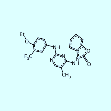 CCOc1ccc(Nc2ncc(C)c(Nn3c(=O)oc4ccccc43)n2)cc1C(F)(F)F